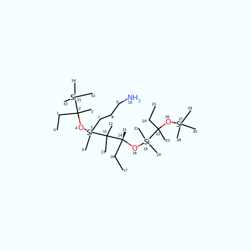 CCC(C)(O[Si](C)(CCCN)C(C)(C)[C@@](C)(CC)O[Si](C)(C)C(C)(CC)O[Si](C)(C)C)[Si](C)(C)C